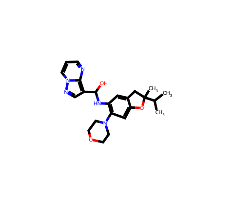 CC(C)C1(C)Cc2cc(NC(O)c3cnn4cccnc34)c(N3CCOCC3)cc2O1